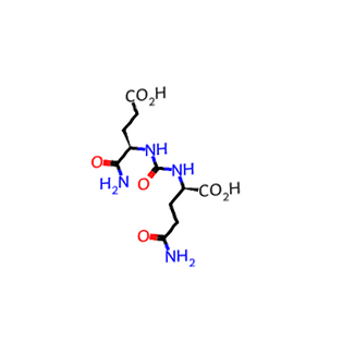 NC(=O)CC[C@@H](NC(=O)N[C@H](CCC(=O)O)C(N)=O)C(=O)O